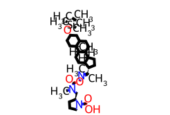 CC(=NOC(=O)N(C)C[C@@H]1CCCN1C(=O)O)[C@H]1CC[C@H]2[C@@H]3CCC4C[C@H](O[Si](C)(C)C(C)(C)C)CC[C@]4(C)[C@H]3CC[C@]12C